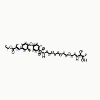 CCOC(=O)/C(C)=C/c1ccc(Oc2ccc(S(=O)(=O)NCCOCCOCCOCCNC(=O)[C@@H](C)O)cc2)c(F)c1